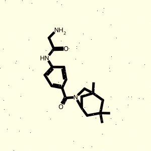 CC1(C)CC2CC(C)(CN2C(=O)c2ccc(NC(=O)CN)cc2)C1